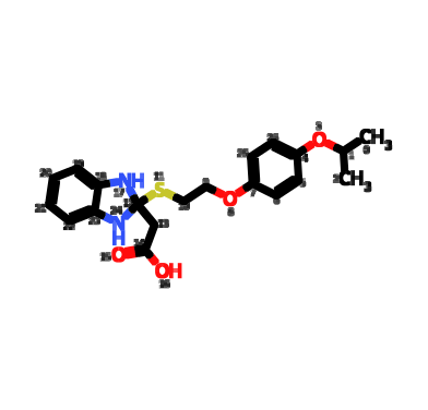 CC(C)Oc1ccc(OCCSC2(CC(=O)O)Nc3ccccc3N2)cc1